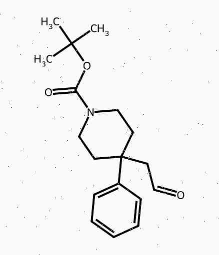 CC(C)(C)OC(=O)N1CCC(CC=O)(c2ccccc2)CC1